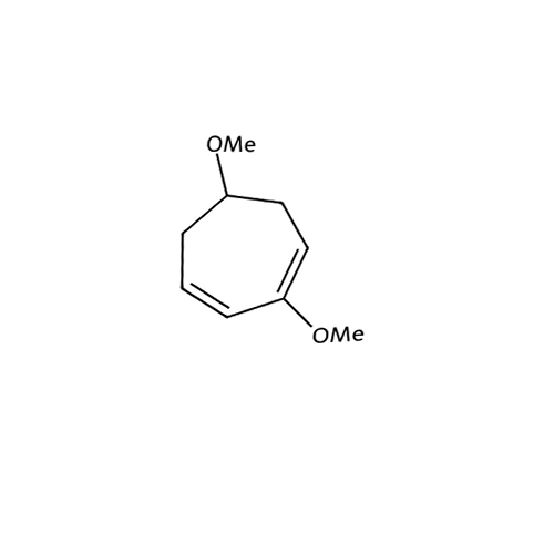 COC1=CCC(OC)CC=C1